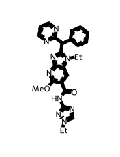 CCn1cnc(NC(=O)c2cc3c(nc2OC)nc(C(c2ccccc2)c2ncccn2)n3CC)n1